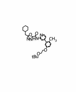 Cc1ccc(OCCOC(C)(C)C)cc1-c1ccnc(NC(=O)c2nnc(CC3CCCCC3)o2)c1